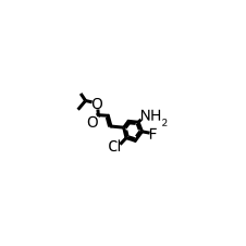 CC(C)OC(=O)C=Cc1cc(N)c(F)cc1Cl